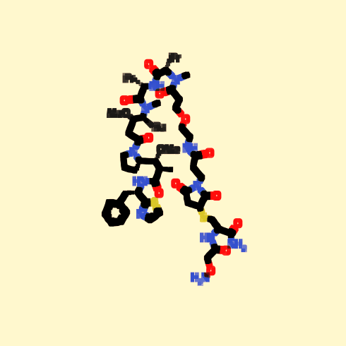 CCC(C)[C@@H]([C@@H](CC(=O)N1CCC[C@H]1[C@H](OC)[C@@H](C)C(=O)N[C@@H](Cc1ccccc1)c1nccs1)OC)N(C)C(=O)[C@@H](NC(=O)[C@H](C(C)C)N(C)C(=O)CCOCCNC(=O)CCN1C(=O)CC(SCC(NC(=O)CON)C(N)=O)C1=O)C(C)C